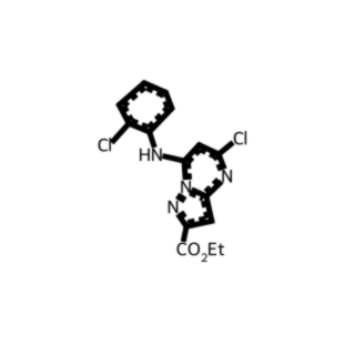 CCOC(=O)c1cc2nc(Cl)cc(Nc3ccccc3Cl)n2n1